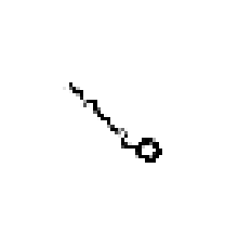 O=COCCCCOCc1ccccc1